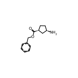 N[C@@H]1CC[C@H](C(=O)OCc2ccccc2)C1